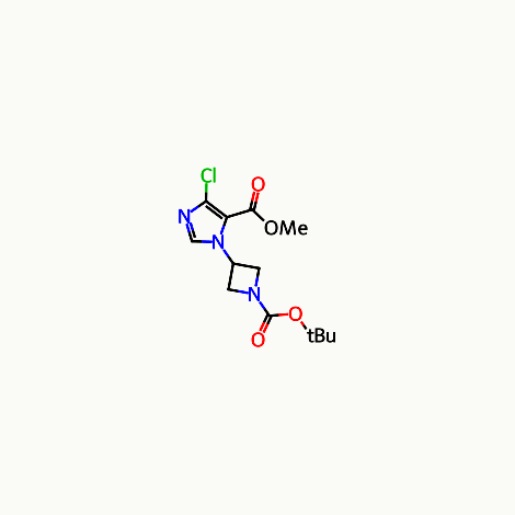 COC(=O)c1c(Cl)ncn1C1CN(C(=O)OC(C)(C)C)C1